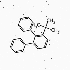 CC(C)(C)c1[c]ccc(-c2ccccc2)c1-c1ccccc1